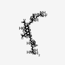 COC(=O)[C@@H](CCCNC(=N)N)NC(=O)CCCOc1cc2oc3cc(OCCCC(=O)N[C@H](CCCNC(=N)N)C(=O)OC)c(OC)c(CC=C(C)C)c3c(=O)c2c(O)c1CC=C(C)C